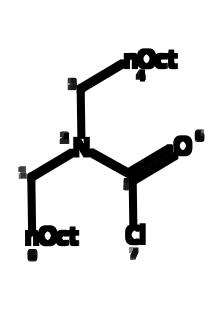 CCCCCCCCCN(CCCCCCCCC)C(=O)Cl